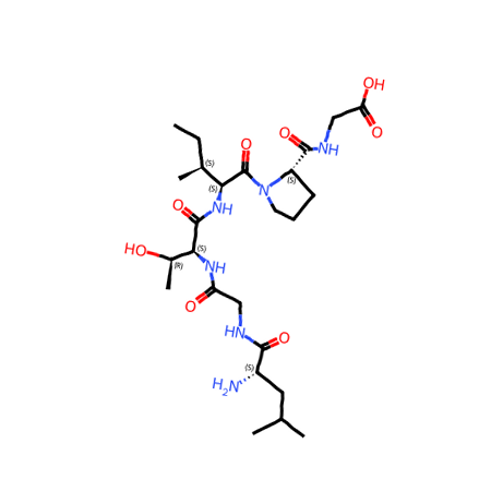 CC[C@H](C)[C@H](NC(=O)[C@@H](NC(=O)CNC(=O)[C@@H](N)CC(C)C)[C@@H](C)O)C(=O)N1CCC[C@H]1C(=O)NCC(=O)O